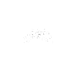 Cc1cccc(C2(c3cccc(N(c4ccccc4)c4cc(C)c5ccc6c(N(c7ccccc7)c7cccc(C8(c9cccc(C)c9)c9ccccc9-c9ccccc98)c7)cc(C)c7ccc4c5c76)c3)c3ccccc3-c3ccccc32)c1